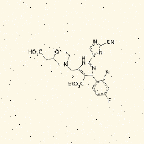 CCOC(=O)C1=C(CN2CCOC(CC(=O)O)C2)NC(n2cnc(C#N)n2)=NC1c1ccc(F)cc1Br